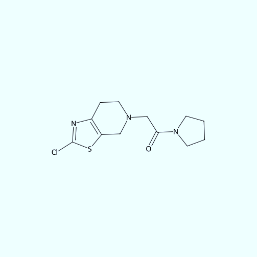 O=C(CN1CCc2nc(Cl)sc2C1)N1CCCC1